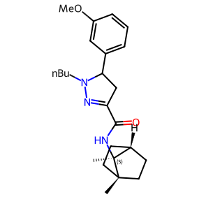 CCCCN1N=C(C(=O)N[C@@]2(C)[C@H]3CC[C@]2(C)CC3)CC1c1cccc(OC)c1